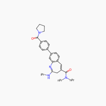 CCCN(CCC)C(=O)C1=Cc2ccc(-c3ccc(C(=O)N4CCCC4)cc3)cc2N=C(NC(C)C)C1